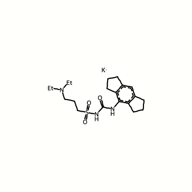 CCN(CC)CCCS(=O)(=O)NC(=O)Nc1c2c(cc3c1CCC3)CCC2.[K]